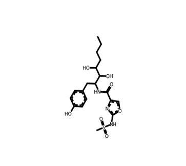 CCCCC(O)C(O)C(Cc1ccc(O)cc1)NC(=O)c1coc(NS(C)(=O)=O)n1